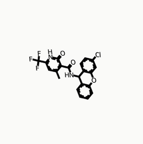 Cc1cc(C(F)(F)F)[nH]c(=O)c1C(=O)NC1c2ccccc2Oc2cc(Cl)ccc21